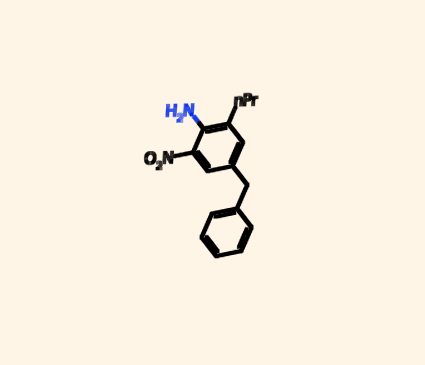 CCCc1cc(Cc2ccccc2)cc([N+](=O)[O-])c1N